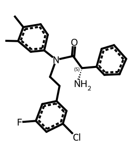 Cc1ccc(N(CCc2cc(F)cc(Cl)c2)C(=O)[C@@H](N)c2ccccc2)cc1C